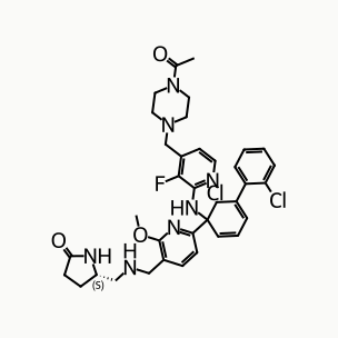 COc1nc(C2(Nc3nccc(CN4CCN(C(C)=O)CC4)c3F)C=CC=C(c3ccccc3Cl)C2Cl)ccc1CNC[C@@H]1CCC(=O)N1